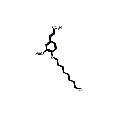 COc1cc(/C=C/C(=O)O)ccc1OCCCCCCCCCl